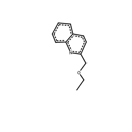 CCO[CH]c1ccc2ccccc2n1